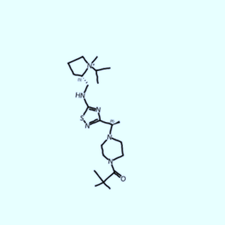 CC(C)[N+]1(C)CCC[C@H]1CNc1nc([C@@H](C)N2CCN(C(=O)C(C)(C)C)CC2)ns1